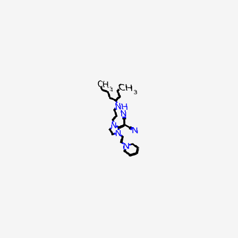 CCCCC(CCC)NCCCN1CCN(CCN2CCCCC2)C1=C(C#N)C#N